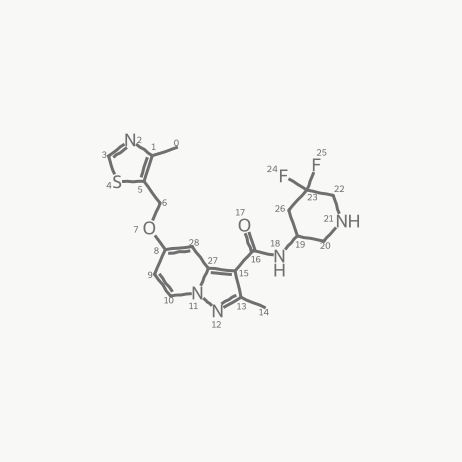 Cc1ncsc1COc1ccn2nc(C)c(C(=O)NC3CNCC(F)(F)C3)c2c1